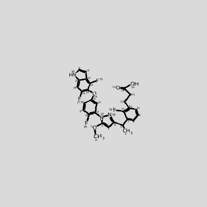 COc1cc(C(C)c2cccc(CCC(=O)O)c2F)nn1-c1cc(Oc2c(F)cc3[nH]ccc3c2F)ccc1F